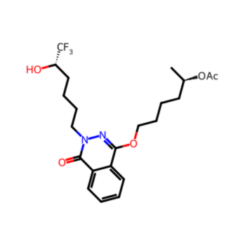 CC(=O)O[C@H](C)CCCCOc1nn(CCCC[C@H](O)C(F)(F)F)c(=O)c2ccccc12